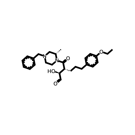 CCOc1ccc(CCC[C@@H](C(=O)N2CCN(Cc3ccccc3)C[C@@H]2C)[C@H](O)C=O)cc1